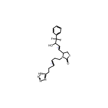 O=C1SCC(/C=C/C(O)C(F)(F)c2ccccc2)N1CC/C=C/CCc1nnn[nH]1